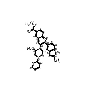 COC(=O)c1ccc2nc(-c3ccc4[nH]c(C)cc4c3)c(N3CCN(c4ccccn4)CC3C)nc2c1